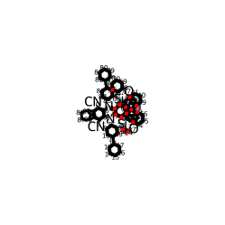 N#Cc1c2c(c(C#N)c(N3c4ccc(-c5ccccc5)cc4[Si]4(c5ccccc5Oc5ccccc54)c4cc(-c5ccccc5)ccc43)c1N1c3ccc(-c4ccccc4)cc3[Si]3(c4ccccc4Oc4ccccc43)c3cc(-c4ccccc4)ccc31)C1CCC2C1